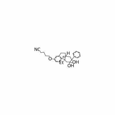 CCC12CC(C)(O)C(O)(c3ccccc3)C[C@H]1CCc1cc(OCCCCC#N)ccc12